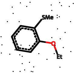 CCOc1c[c]ccc1SC